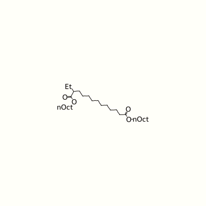 CCCCCCCCOC(=O)CCCCCCCCCCC(CC)C(=O)OCCCCCCCC